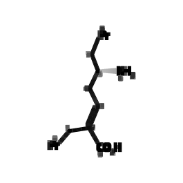 CC(C)C/C(=C\C[C@@H](N)CC(C)C)C(=O)O